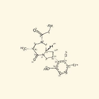 C[C@@H]1CN(C(=O)CO)C[C@@H]2C[C@H](c3c(O)ccc(Cl)c3Cl)CN2C1=O